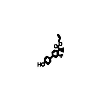 C=CCOC(=O)C1(c2ccc(-c3ccc(O)cc3)cc2F)CC1